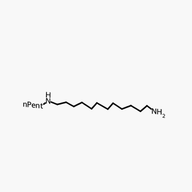 CCCCCNCCCCCCCCCCCCN